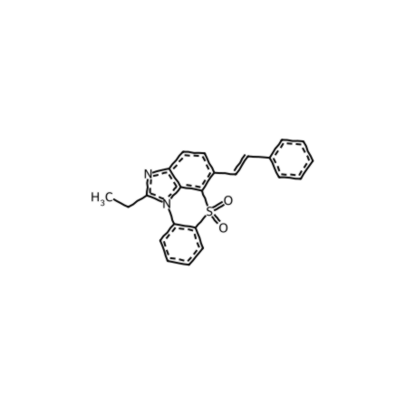 CCc1nc2ccc(/C=C/c3ccccc3)c3c2n1-c1ccccc1S3(=O)=O